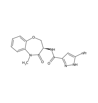 CCCc1cc(C(=O)N[C@@H]2COc3ccccc3N(C)C2=O)n[nH]1